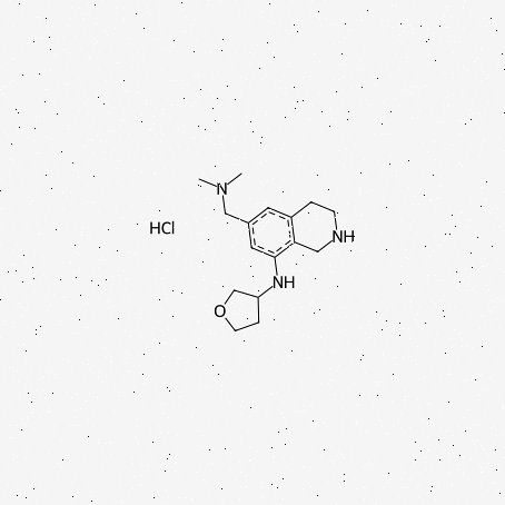 CN(C)Cc1cc2c(c(NC3CCOC3)c1)CNCC2.Cl